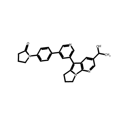 CC(O)c1cnc2c(c1)c(-c1cncc(-c3ccc(N4CCCC4=O)cc3)c1)c1n2CCC1